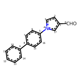 O=Cc1ccn(-c2ccc(-c3ccccc3)cc2)c1